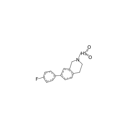 O=[SH](=O)CN1CCc2ccc(-c3ccc(F)cc3)cc2C1